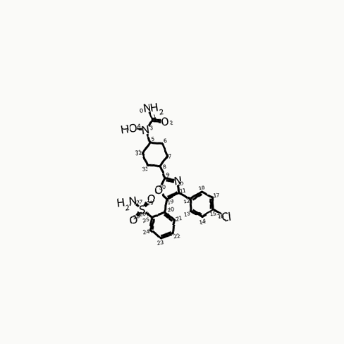 NC(=O)N(O)C1CCC(c2nc(-c3ccc(Cl)cc3)c(-c3ccccc3S(N)(=O)=O)o2)CC1